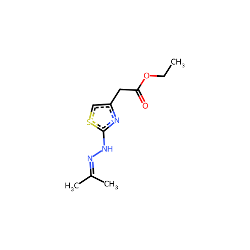 CCOC(=O)Cc1csc(NN=C(C)C)n1